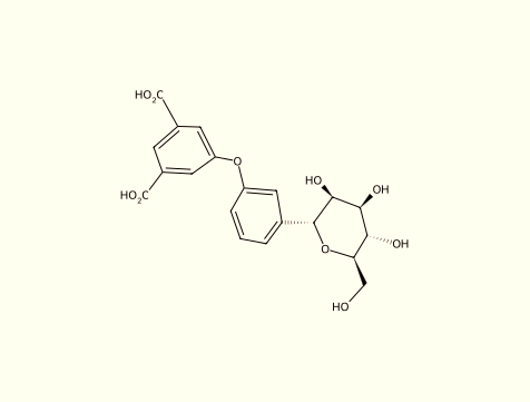 O=C(O)c1cc(Oc2cccc([C@H]3O[C@H](CO)[C@@H](O)[C@H](O)[C@@H]3O)c2)cc(C(=O)O)c1